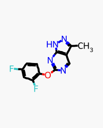 Cc1n[nH]c2nc(Oc3ccc(F)cc3F)ncc12